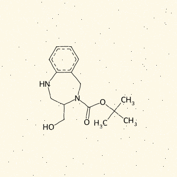 CC(C)(C)OC(=O)N1Cc2ccccc2NCC1CO